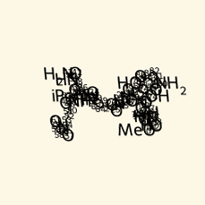 CO[C@H]1OCCN2[C@@H]1O[C@@H]1[C@H](C)OC(O[C@H]3C[C@](O)(C(=O)N4CCN(C(=O)OCc5ccc(NC(=O)[C@H](CCCNC(N)=O)NC(=O)[C@@H](NC(=O)CCCCCN6C(=O)C=CC6=O)C(C)C)cc5)CC4)Cc4c(O)c5c(c(O)c43)C(=O)c3c(N)cccc3C5=O)C[C@@H]12